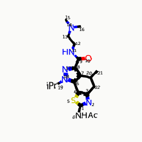 CC(=O)Nc1nc2c(s1)-c1c(c(C(=O)NCCN(C)C)nn1C(C)C)C(C)C2